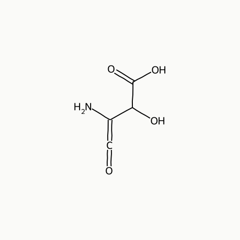 NC(=C=O)C(O)C(=O)O